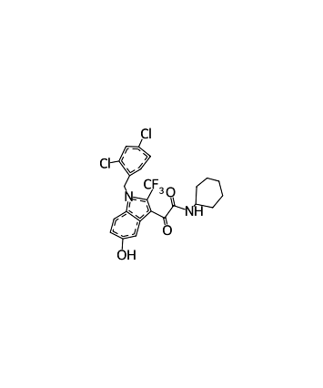 O=C(NC1CCCCC1)C(=O)c1c(C(F)(F)F)n(Cc2ccc(Cl)cc2Cl)c2ccc(O)cc12